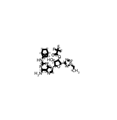 CCn1nnc([C@H]2O[C@@H](n3cnc4c(N)nc(NC5CC6CCC5C6)nc43)[C@H](O)[C@@H]2OC(=O)C(F)(F)F)n1